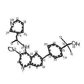 CC(Nc1c(Cl)cnc2ccc(-c3ccc(C(C)(C)O)cc3)cc12)c1cccnc1